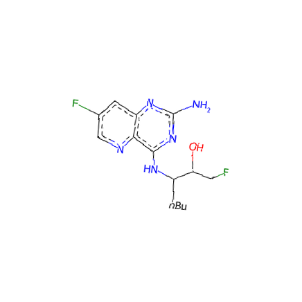 CCCCC(Nc1nc(N)nc2cc(F)cnc12)C(O)CF